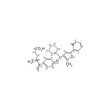 Cc1oc(-c2ccccn2)cc1C(Oc1ccc(C(=O)N(C)CCC(=O)O)cc1)C1CCCCC1